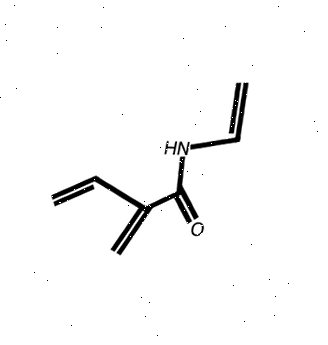 C=CNC(=O)C(=C)C=C